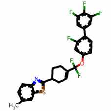 Cc1ccc2nc(C3CC=C(C(F)(F)Oc4ccc(-c5cc(F)c(F)c(F)c5)c(F)c4)CC3)sc2c1